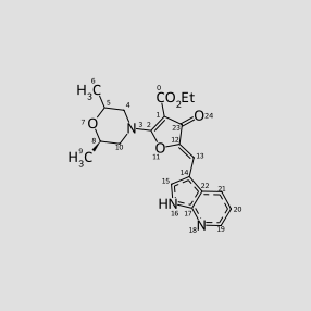 CCOC(=O)C1=C(N2CC(C)O[C@H](C)C2)O/C(=C\c2c[nH]c3ncccc23)C1=O